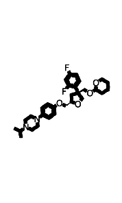 CC(C)N1CCN(c2ccc(OC[C@@H]3C[C@](COC4CCCCO4)(c4ccc(F)cc4F)CO3)cc2)CC1